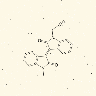 C#CCN1C(=O)/C(=C2/C(=O)N(C)c3ccccc32)c2ccccc21